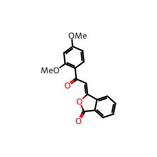 COc1ccc(C(=O)C=C2OC(=O)c3ccccc32)c(OC)c1